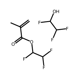 C=C(C)C(=O)OC(F)C(F)F.OC(F)C(F)F